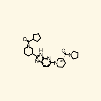 O=C(C1CCCC1)N1CCCC(c2nc3ccc(N4CCC[C@@H](C(=O)N5CCCC5)C4)nc3[nH]2)C1